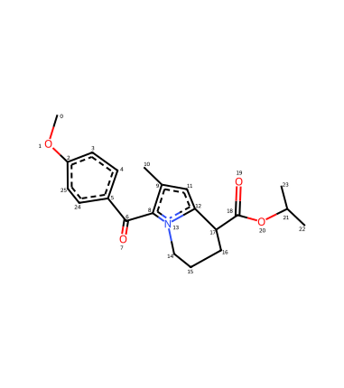 COc1ccc(C(=O)c2c(C)cc3n2CCCC3C(=O)OC(C)C)cc1